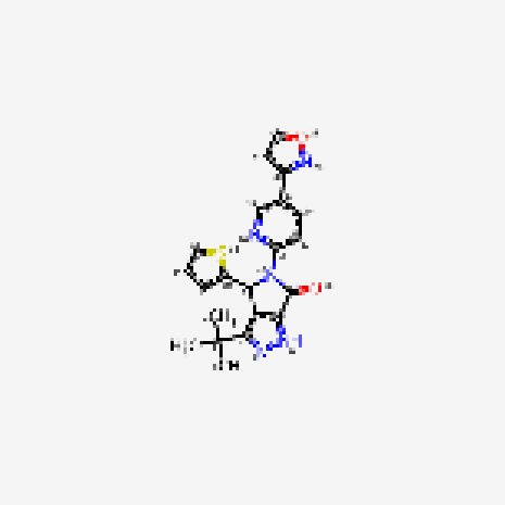 CC(C)(C)c1n[nH]c2c1C(c1cccs1)N(c1ccc(-c3ccon3)cn1)C2=O